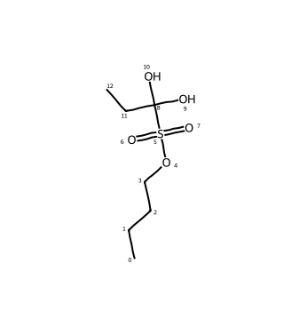 CCCCOS(=O)(=O)C(O)(O)CC